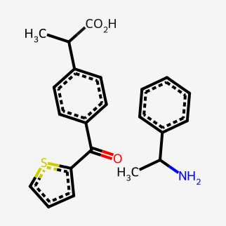 CC(C(=O)O)c1ccc(C(=O)c2cccs2)cc1.CC(N)c1ccccc1